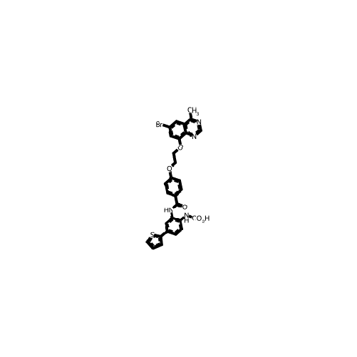 Cc1ncnc2c(OCCOc3ccc(C(=O)Nc4cc(-c5cccs5)ccc4NC(=O)O)cc3)cc(Br)cc12